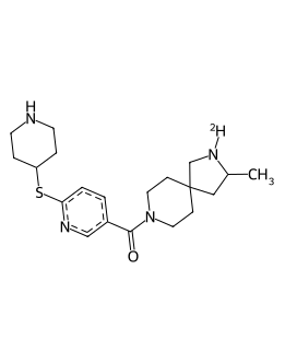 [2H]N1CC2(CCN(C(=O)c3ccc(SC4CCNCC4)nc3)CC2)CC1C